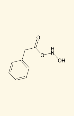 O=C(Cc1ccccc1)ONO